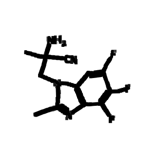 Cc1nc2c(F)c(F)c(F)cc2n1CC(C)(N)C#N